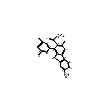 COC(=O)c1c(C)nc2c(c1-c1cc(C)cc(C)c1)Cc1cc(N)ccc1-2